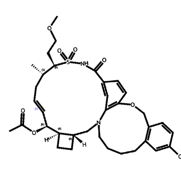 COCC[C@@H]1[C@@H](C)C/C=C/[C@H](OC(C)=O)[C@@H]2CC[C@H]2CN2CCCCc3cc(Cl)ccc3COc3ccc(cc32)C(=O)NS1(=O)=O